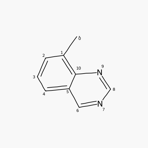 [CH2]c1cccc2cncnc12